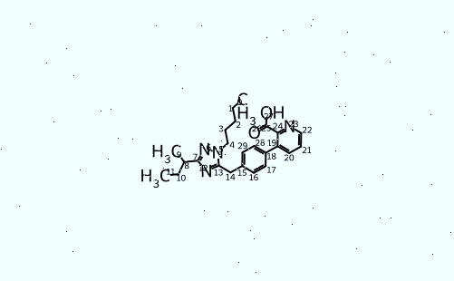 CCCCCn1nc(C(C)CC)nc1Cc1ccc(-c2cccnc2C(=O)O)cc1